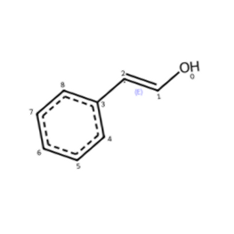 O/C=[C]/c1ccccc1